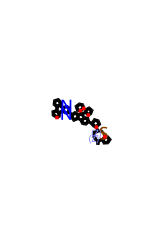 C=C1/C=C\C=C(\c2cccc(-c3ccc4c(c3)C(c3ccccc3)(c3ccccc3)c3cc(-c5cnc6c7ccccc7c7ccccc7c6n5)ccc3-4)c2)CSc2ccccc21